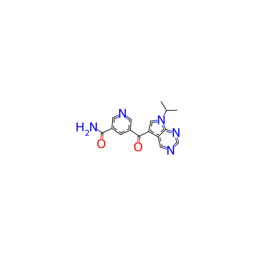 CC(C)n1cc(C(=O)c2cncc(C(N)=O)c2)c2cncnc21